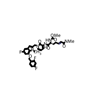 CNC(=O)/C=C/CC[C@H](NC(=O)OC)C(=O)Nc1cccn(Cc2cc3cc(F)cc(OCc4ccc(F)cc4F)c3n2C)c1=O